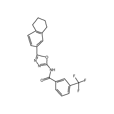 O=C(Nc1nnc(-c2ccc3c(c2)CCCC3)o1)c1cccc(C(F)(F)F)c1